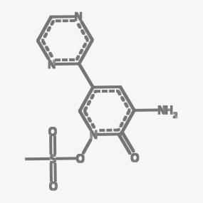 CS(=O)(=O)On1cc(-c2cnccn2)cc(N)c1=O